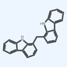 c1ccc2c(c1)[nH]c1c(Cc3cccc4c3[nH]c3ccccc34)cccc12